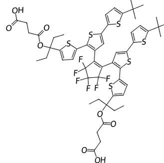 CCC(CC)(OC(=O)CCC(=O)O)c1ccc(-c2sc(-c3ccc(C(C)(C)C)s3)cc2C2=C(c3cc(-c4ccc(C(C)(C)C)s4)sc3-c3ccc(C(CC)(CC)OC(=O)CCC(=O)O)s3)C(F)(F)C(F)(F)C2(F)F)s1